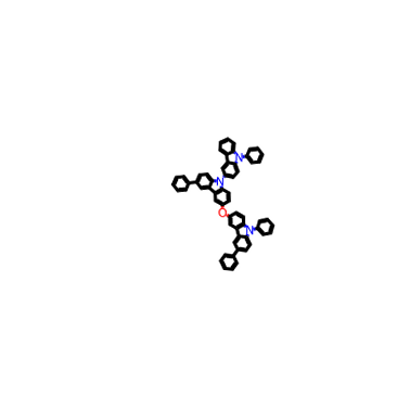 c1ccc(-c2ccc3c(c2)c2cc(Oc4ccc5c(c4)c4cc(-c6ccccc6)ccc4n5-c4ccc5c(c4)c4ccccc4n5-c4ccccc4)ccc2n3-c2ccccc2)cc1